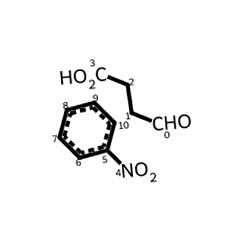 O=CCCC(=O)O.O=[N+]([O-])c1ccccc1